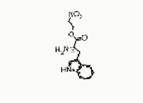 N[C@@H](Cc1c[nH]c2ccccc12)C(=O)OCC[N+](=O)[O-]